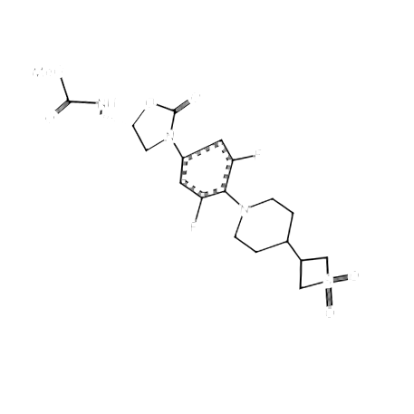 COC(=O)NC[C@H]1CN(c2cc(F)c(N3CCC(C4CS(=O)(=O)C4)CC3)c(F)c2)C(=O)O1